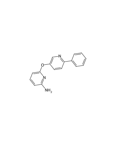 Nc1cccc(Oc2ccc(-c3ccccc3)nc2)n1